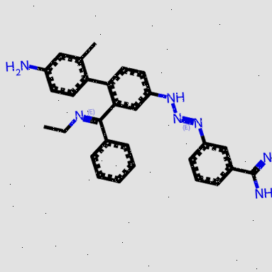 CC/N=C(\c1ccccc1)c1cc(N/N=N/c2cccc(C(=N)N)c2)ccc1-c1ccc(N)cc1C